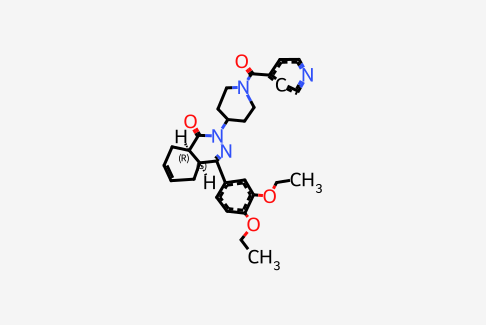 CCOc1ccc(C2=NN(C3CCN(C(=O)c4ccncc4)CC3)C(=O)[C@@H]3CC=CC[C@H]23)cc1OCC